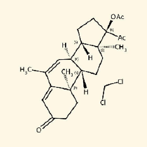 CC(=O)O[C@]1(C(C)=O)CC[C@H]2[C@@H]3C=C(C)C4=CC(=O)CC[C@]4(C)[C@H]3CC[C@@]21C.ClCCl